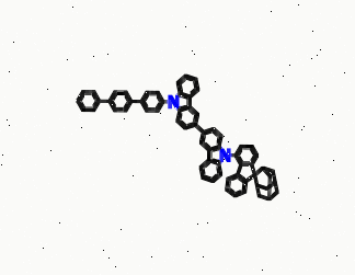 c1ccc(-c2ccc(-c3ccc(-n4c5ccccc5c5cc(-c6ccc7c(c6)c6ccccc6n7-c6cccc7c6-c6ccccc6C76C7CC8CC(C7)CC6C8)ccc54)cc3)cc2)cc1